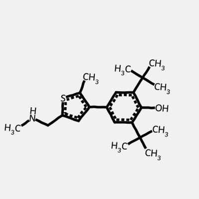 CNCc1cc(-c2cc(C(C)(C)C)c(O)c(C(C)(C)C)c2)c(C)s1